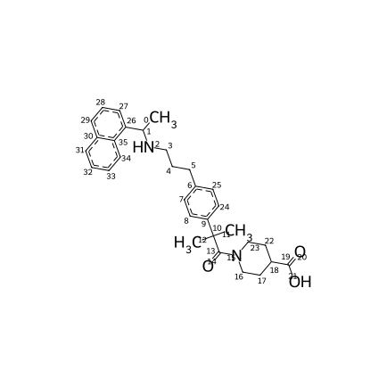 CC(NCCCc1ccc(C(C)(C)C(=O)N2CCC(C(=O)O)CC2)cc1)c1cccc2ccccc12